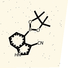 CC1(C)OB(c2cccc3[nH]cc(C#N)c23)OC1(C)C